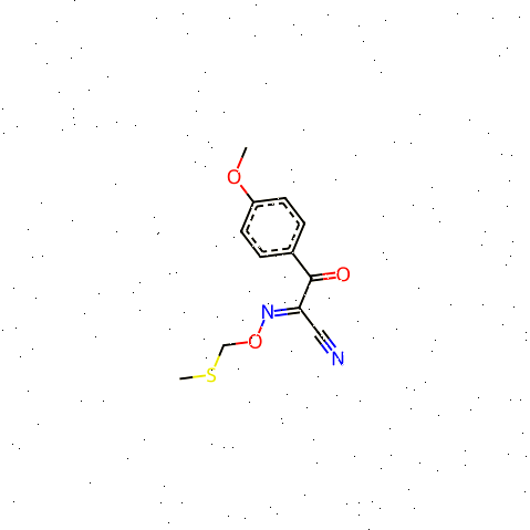 COc1ccc(C(=O)C(C#N)=NOCSC)cc1